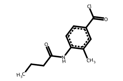 CCCC(=O)Nc1ccc(C(=O)Cl)cc1C